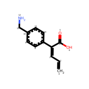 C=CC=C(C(=O)O)c1ccc(CN)cc1